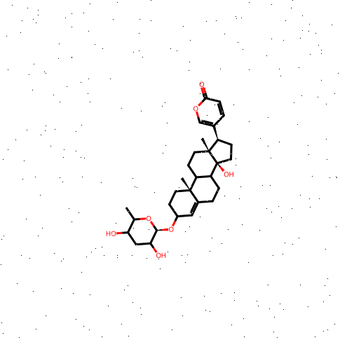 CC1O[C@@H](OC2C=C3CCC4C(CC[C@]5(C)[C@@H](c6ccc(=O)oc6)CC[C@]45O)[C@@]3(C)CC2)C(O)CC1O